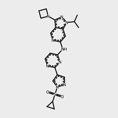 CC(C)n1nc(N2CCC2)c2cnc(Nc3ccnc(-c4cnn(S(=O)(=O)C5CC5)c4)n3)cc21